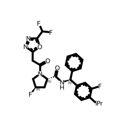 CC(C)c1ccc([C@@H](NC(=O)[C@@H]2C[C@@H](F)CN2C(=O)Cc2nnc(C(F)F)o2)c2ccccc2)cc1F